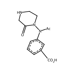 CC(=O)N(c1cccc(C(=O)O)c1)N1CCNCC1=O